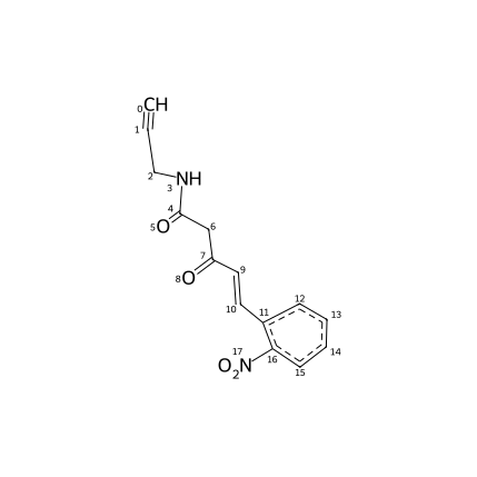 C#CCNC(=O)CC(=O)C=Cc1ccccc1[N+](=O)[O-]